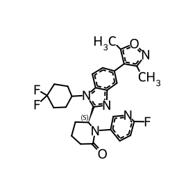 Cc1noc(C)c1-c1ccc2c(c1)nc([C@@H]1CCCC(=O)N1c1ccc(F)nc1)n2C1CCC(F)(F)CC1